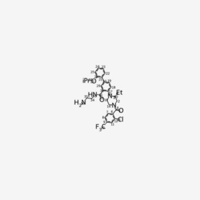 CC[C@@H]1CN(C(=O)c2ccc(C(F)(F)F)cc2Cl)CCN1c1ccc(-c2ccccc2OC(C)C)cc1C(=O)NCCN